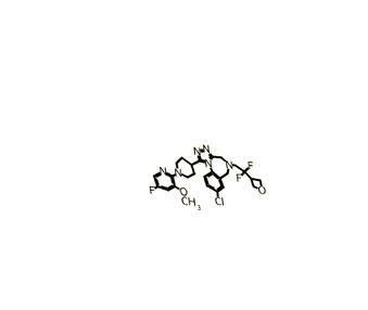 COc1cc(F)cnc1N1CCC(c2nnc3n2-c2ccc(Cl)cc2CN(CC(F)(F)C2COC2)C3)CC1